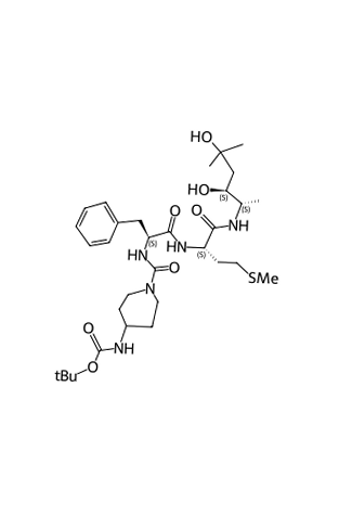 CSCC[C@H](NC(=O)[C@H](Cc1ccccc1)NC(=O)N1CCC(NC(=O)OC(C)(C)C)CC1)C(=O)N[C@@H](C)[C@@H](O)CC(C)(C)O